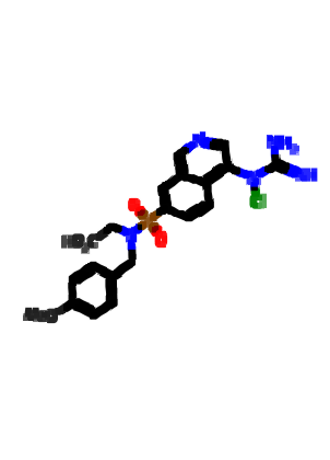 COc1ccc(CN(CC(=O)O)S(=O)(=O)c2ccc3c(N(Cl)C(=N)N)cncc3c2)cc1